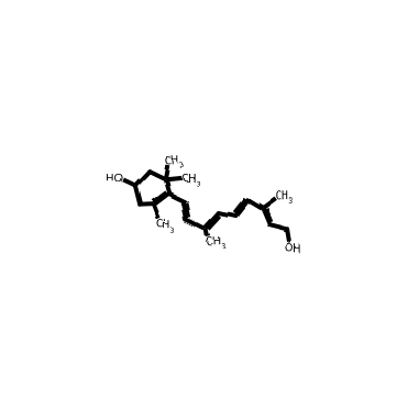 CC(C=CC1=C(C)CC(O)CC1(C)C)=CC=CC(C)=CCO